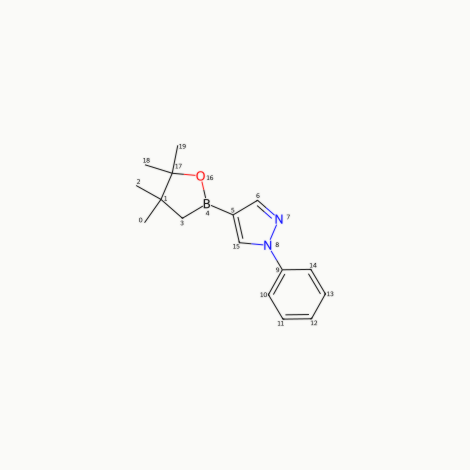 CC1(C)CB(c2cnn(-c3ccccc3)c2)OC1(C)C